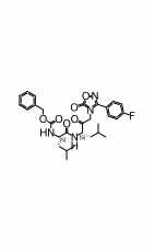 CC(C)C[C@H](NC(=O)[C@H](CC(C)C)NC(=O)OCc1ccccc1)C(=O)Cn1c(-c2ccc(F)cc2)noc1=O